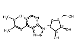 CC(=Nc1ncnc2c1nnn2[C@@H]1O[C@H](CO)[C@@H](O)[C@H]1O)N(C)C